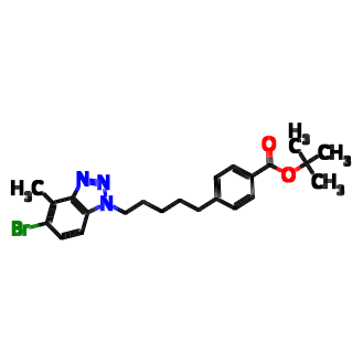 Cc1c(Br)ccc2c1nnn2CCCCCc1ccc(C(=O)OC(C)(C)C)cc1